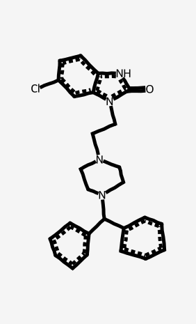 O=c1[nH]c2ccc(Cl)cc2n1CCN1CCN(C(c2ccccc2)c2ccccc2)CC1